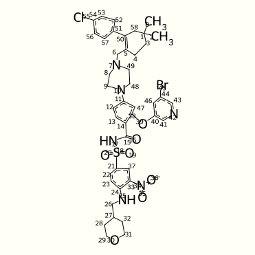 CC1(C)CCC(CN2CCN(c3ccc(C(=O)NS(=O)(=O)c4ccc(NCC5CCOCC5)c([N+](=O)[O-])c4)c(Oc4cncc(Br)c4)c3)CC2)=C(c2ccc(Cl)cc2)C1